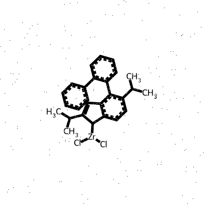 CC(C)C1=Cc2c(ccc(C(C)C)c2-c2ccccc2-c2ccccc2)[CH]1[Zr]([Cl])[Cl]